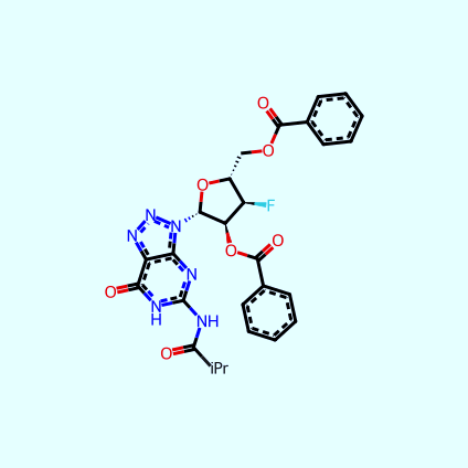 CC(C)C(=O)Nc1nc2c(nnn2[C@@H]2O[C@H](COC(=O)c3ccccc3)[C@@H](F)[C@H]2OC(=O)c2ccccc2)c(=O)[nH]1